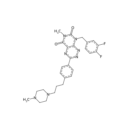 CN1CCN(CCCc2ccc(-c3nnc4c(n3)c(=O)n(C)c(=O)n4Cc3ccc(F)c(F)c3)cc2)CC1